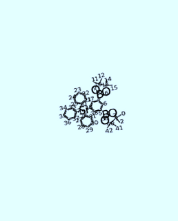 CC1(C)OB(c2cc(B3OC(C)(C)C(C)(C)O3)cc([Si](c3ccccc3)(c3ccccc3)c3ccccc3)c2)OC1(C)C